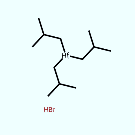 Br.CC(C)[CH2][Hf]([CH2]C(C)C)[CH2]C(C)C